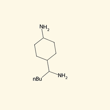 CCCCC(N)C1CCC(N)CC1